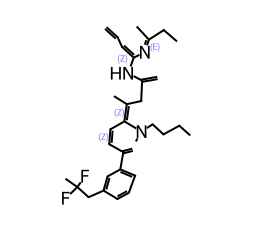 C=C/C=C(\N=C(/C)CC)NC(=C)C/C(C)=C(/C=C\C(=C)c1cccc(CC(C)(F)F)c1)N(C)CCCC